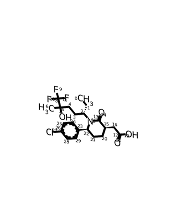 CC[C@@H](CCC(C)(O)C(F)(F)F)N1C(=O)[C@@H](CC(=O)O)CC[C@H]1c1ccc(Cl)cc1